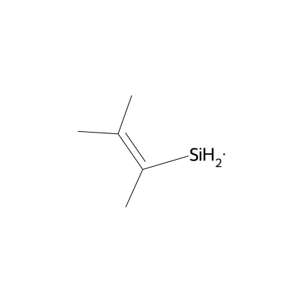 CC(C)=C(C)[SiH2]